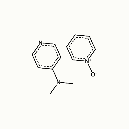 CN(C)c1ccncc1.[O-][n+]1ccccc1